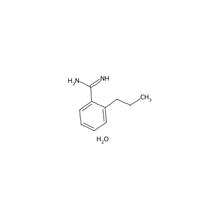 CCCc1ccccc1C(=N)N.O